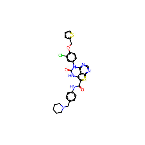 O=C(Nc1ccc(CN2CCCCC2)cc1)c1sc2ncnc3c2c1NC(=O)N3c1ccc(OCc2cccs2)c(Cl)c1